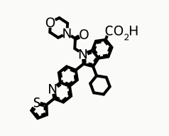 O=C(O)c1ccc2c(C3CCCCC3)c(-c3ccc4nc(-c5cccs5)ccc4c3)n(CC(=O)N3CCOCC3)c2c1